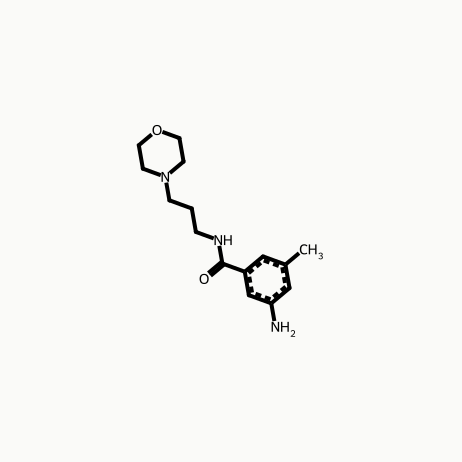 Cc1cc(N)cc(C(=O)NCCCN2CCOCC2)c1